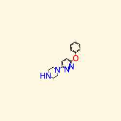 c1ccc(Oc2ccc(N3CCNCC3)nn2)cc1